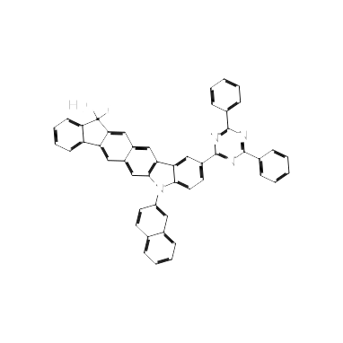 CC1(C)c2ccccc2-c2cc3cc4c(cc3cc21)c1cc(-c2nc(-c3ccccc3)nc(-c3ccccc3)n2)ccc1n4-c1ccc2ccccc2c1